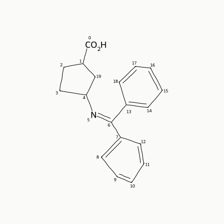 O=C(O)C1CCC(N=C(c2ccccc2)c2ccccc2)C1